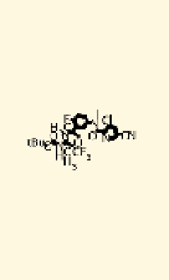 CC(C)(C)OC(=O)NC1=N[C@](C)(c2cc(NC(=O)c3ncc(C#N)cc3Cl)ccc2F)CO[C@@]1(C)C(F)(F)F